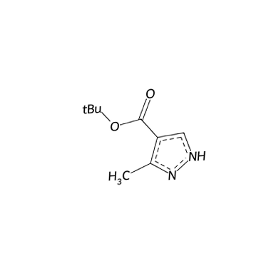 Cc1n[nH]cc1C(=O)OC(C)(C)C